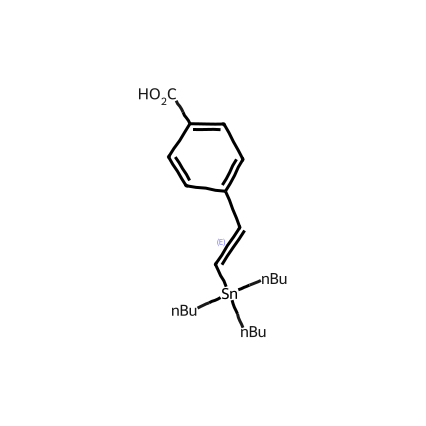 CCC[CH2][Sn](/[CH]=C/c1ccc(C(=O)O)cc1)([CH2]CCC)[CH2]CCC